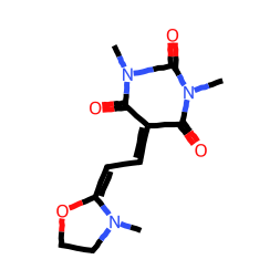 CN1C(=O)C(=C/C=C2/OCCN2C)C(=O)N(C)C1=O